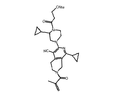 C=C(C)C(=O)N1CCc2c(C#N)c(N3CCN(C(=O)CCOC)C(C4CC4)C3)nc(C3CC3)c2C1